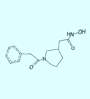 O=C(CC1CCCN(C(=O)Cc2ccccc2)C1)NO